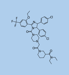 CCOc1cc(C(F)(F)F)ccc1C1=NC(c2ccc(Cl)cc2)C(c2ccc(Cl)cc2)N1C(=O)N1CCN(CC(=O)N2CCCC(C(=O)N(CC)CC)C2)CC1